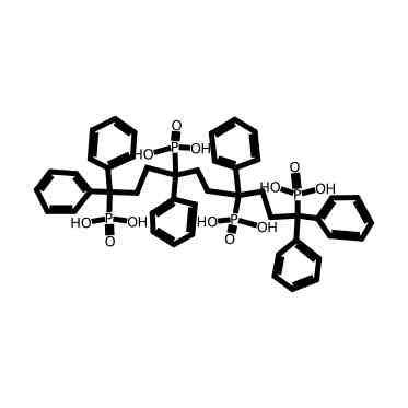 O=P(O)(O)C(CCC(CCC(c1ccccc1)(c1ccccc1)P(=O)(O)O)(c1ccccc1)P(=O)(O)O)(CCC(c1ccccc1)(c1ccccc1)P(=O)(O)O)c1ccccc1